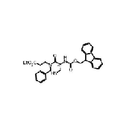 CCOC(=O)CCN(Cc1ccccc1)C(=O)[C@@H](CS)NC(=O)OCC1c2ccccc2-c2ccccc21